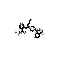 CCCCC(Cc1cnccc1C(N)=O)N1CCN(C(=O)c2cc(F)ccc2C(F)(F)F)CC1